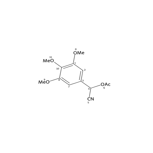 COc1cc(C(C#N)OC(C)=O)cc(OC)c1OC